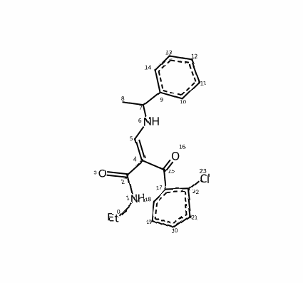 CCNC(=O)C(=CNC(C)c1ccccc1)C(=O)c1ccccc1Cl